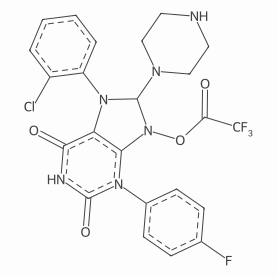 O=C(ON1c2c(c(=O)[nH]c(=O)n2-c2ccc(F)cc2)N(c2ccccc2Cl)C1N1CCNCC1)C(F)(F)F